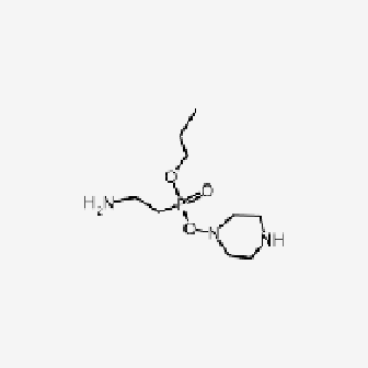 CCCOP(=O)(CCN)ON1CCNCC1